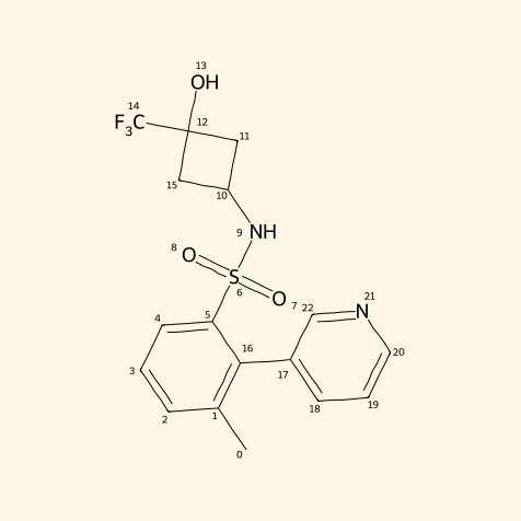 Cc1cccc(S(=O)(=O)NC2CC(O)(C(F)(F)F)C2)c1-c1cccnc1